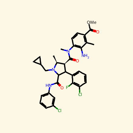 COC(=O)c1ccc(N(C)C(=O)[C@H]2C(c3cccc(Cl)c3F)C(C(=O)Nc3cccc(Cl)c3)N(CC3CC3)[C@H]2C)c(N)c1C